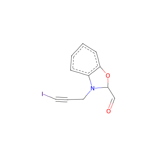 O=CC1Oc2ccccc2N1CC#CI